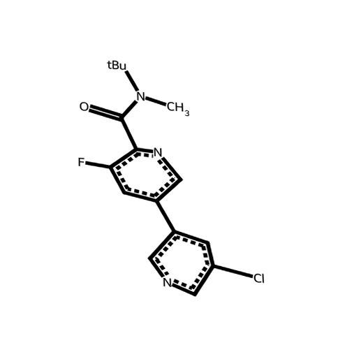 CN(C(=O)c1ncc(-c2cncc(Cl)c2)cc1F)C(C)(C)C